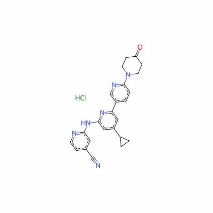 Cl.N#Cc1ccnc(Nc2cc(C3CC3)cc(-c3ccc(N4CCC(=O)CC4)nc3)n2)c1